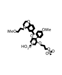 COCCCN1CCOc2ccc(CO[C@H]3CN(C(=O)O)C[C@@H](OCCCOS(C)(=O)=O)[C@@H]3c3ccc(OC)cc3)cc21